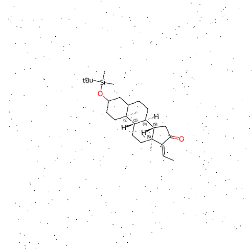 CC=C1C(=O)C[C@H]2[C@@H]3CCC4CC(O[Si](C)(C)C(C)(C)C)CC[C@]4(C)[C@H]3CC[C@]12C